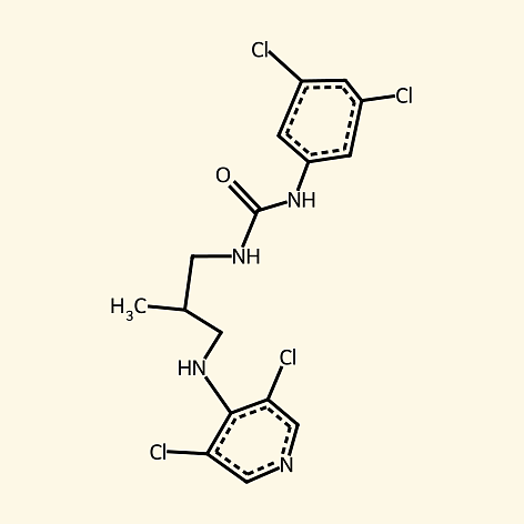 CC(CNC(=O)Nc1cc(Cl)cc(Cl)c1)CNc1c(Cl)cncc1Cl